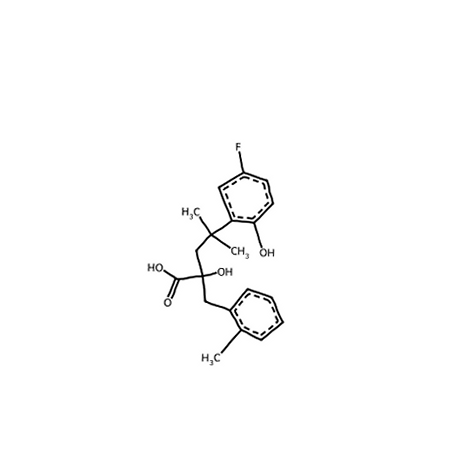 Cc1ccccc1CC(O)(CC(C)(C)c1cc(F)ccc1O)C(=O)O